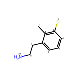 Cc1c(S)cccc1CCN